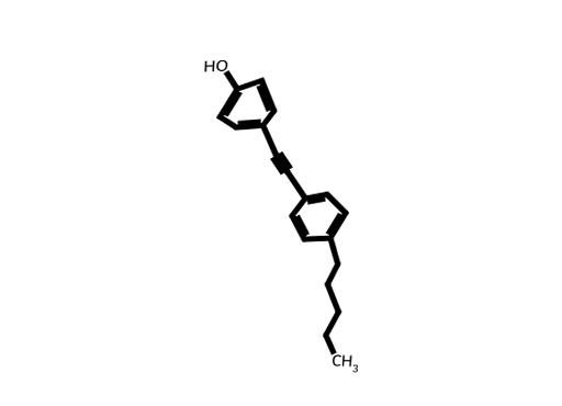 CCCCCc1ccc(C#Cc2ccc(O)cc2)cc1